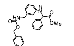 COC(=O)C(Nc1cccc(CNC(=O)OCc2ccccc2)c1)c1ccccc1